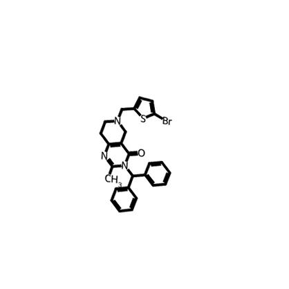 Cc1nc2c(c(=O)n1C(c1ccccc1)c1ccccc1)CN(Cc1ccc(Br)s1)CC2